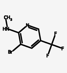 CNc1ncc(C(F)(F)F)cc1Br